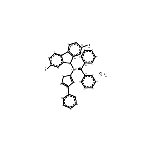 CCc1ccc2c(c1)[CH]([Zr+2]([C]1=CC(c3ccccc3)=CC1)=[C](c1ccccc1)c1ccccc1)c1cc(CC)ccc1-2.[Cl-].[Cl-]